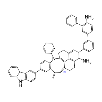 C=C1/C=C2/CCc3c(N)c(-c4cccc(-c5ccc(N)c(-c6ccccc6)c5)c4)cc4c3C2=C(CC4)N(c2ccccc2)c2ccc(-c3ccc4c(c3)C3C=CC=CC3N4)cc21